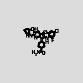 NC(=O)C1CCC(n2c(Nc3c(F)cc(Cl)cc3Cl)nc3cnc(N[C@H]4CCC[C@@H]4O)nc32)CC1